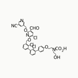 N#Cc1cncc(COc2nc(OCc3cccc(-c4cccc(-c5ccc(OCCN(CCO)C(=O)O)cc5)c4Cl)c3Cl)c(Cl)cc2C=O)c1